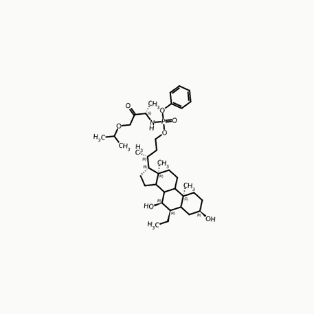 CC[C@@H]1C2C[C@H](O)CC[C@]2(C)C2CC[C@@]3(C)C(CC[C@@H]3[C@H](C)CCOP(=O)(N[C@@H](C)C(=O)COC(C)C)Oc3ccccc3)C2[C@@H]1O